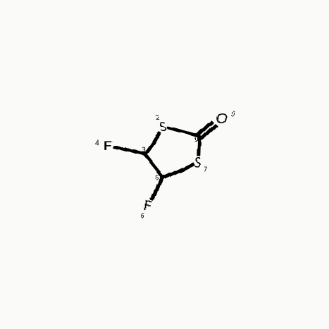 O=C1SC(F)C(F)S1